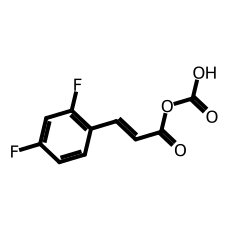 O=C(O)OC(=O)C=Cc1ccc(F)cc1F